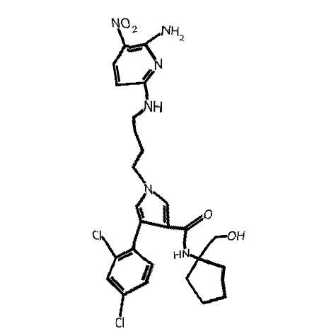 Nc1nc(NCCCn2cc(C(=O)NC3(CO)CCCC3)c(-c3ccc(Cl)cc3Cl)c2)ccc1[N+](=O)[O-]